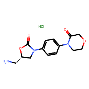 Cl.NC[C@H]1CN(c2ccc(N3CCOCC3=O)cc2)C(=O)O1